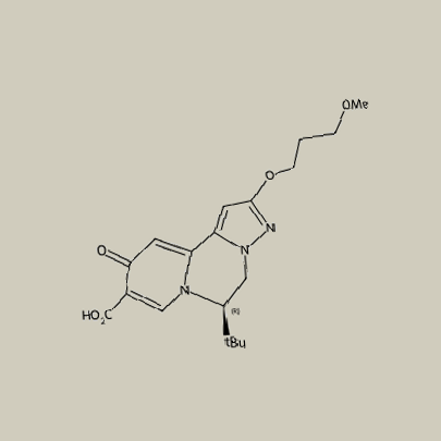 COCCCOc1cc2n(n1)C[C@@H](C(C)(C)C)n1cc(C(=O)O)c(=O)cc1-2